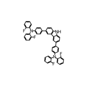 Fc1ccccc1N(c1ccc(-c2ccc3[nH]c4ccc(-c5ccc(N(c6ccccc6F)c6ccccc6F)cc5)cc4c3c2)cc1)c1ccccc1F